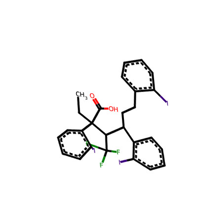 CCC(C(=O)O)(c1ccccc1I)C(C(CCc1ccccc1I)c1ccccc1I)C(F)(F)F